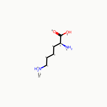 NCCCC[C@H](N)C(=O)O.[Li]